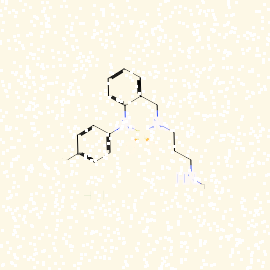 CNCCCN1Cc2ccccc2N(c2ccc(C)cc2)S1(=O)=O.Cl